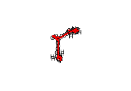 O=C(NCCOCCOCCOCCOc1ccc(CN2C(=O)C=CC2=O)cc1OCCOCCOCCOCCNC(=O)NCC1O[C@H]2CCN(C(=O)C(F)(F)F)[C@H]2C(O)C1O)NCC1O[C@H]2CCN(C(=O)C(F)(F)F)[C@H]2C(O)C1O